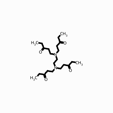 CCC(=O)CCN(CCC(=O)CC)CCN(CCC(=O)CC)CCC(=O)CC